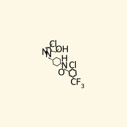 O=C(N[C@H]1CC[C@H](Cn2ncc(Cl)c2CO)CC1)c1cc(C(F)(F)F)ccc1Cl